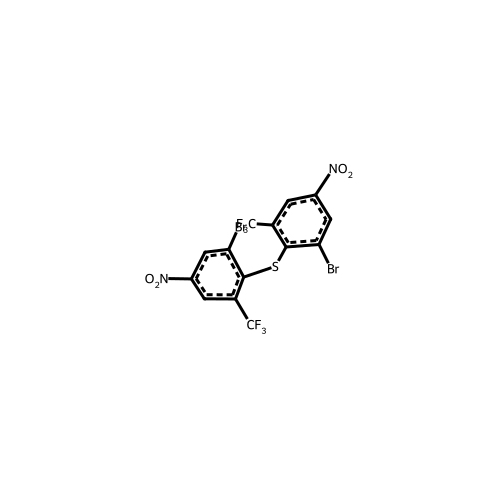 O=[N+]([O-])c1cc(Br)c(Sc2c(Br)cc([N+](=O)[O-])cc2C(F)(F)F)c(C(F)(F)F)c1